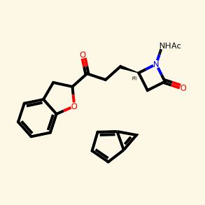 CC(=O)NN1C(=O)C[C@H]1CCC(=O)C1Cc2ccccc2O1.c1cc2cc-2c1